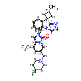 Cn1cnnc1[C@]1(c2cccc(-n3cc4c(C(F)(F)F)cc(CN5CCC(F)CC5)cn4c3=O)c2)C[C@H](C)C1